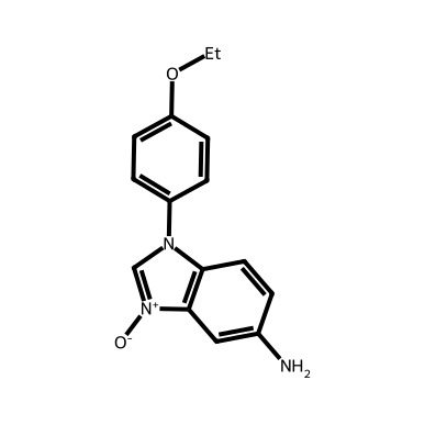 CCOc1ccc(-n2c[n+]([O-])c3cc(N)ccc32)cc1